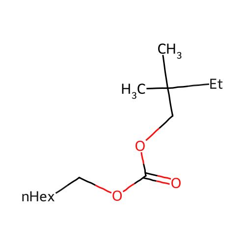 CCCCCCCOC(=O)OCC(C)(C)CC